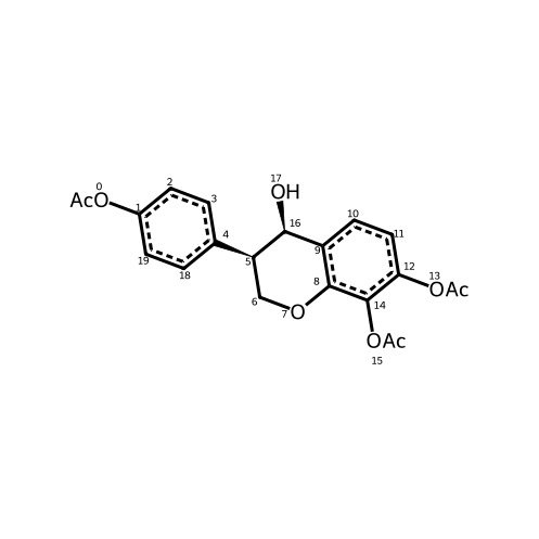 CC(=O)Oc1ccc([C@@H]2COc3c(ccc(OC(C)=O)c3OC(C)=O)[C@@H]2O)cc1